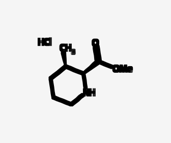 COC(=O)[C@H]1NCCC[C@H]1C.Cl